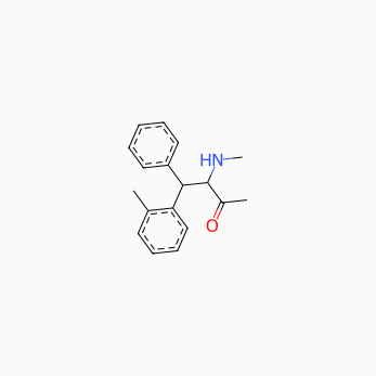 CNC(C(C)=O)C(c1ccccc1)c1ccccc1C